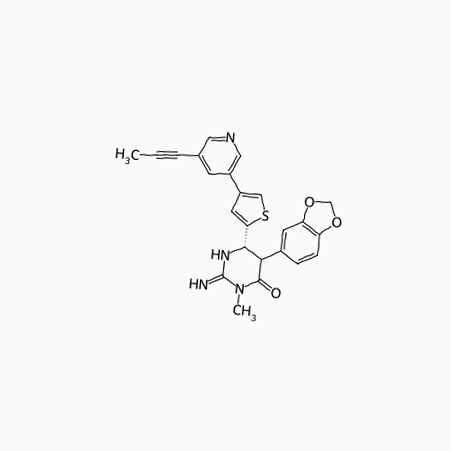 CC#Cc1cncc(-c2csc([C@H]3NC(=N)N(C)C(=O)C3c3ccc4c(c3)OCO4)c2)c1